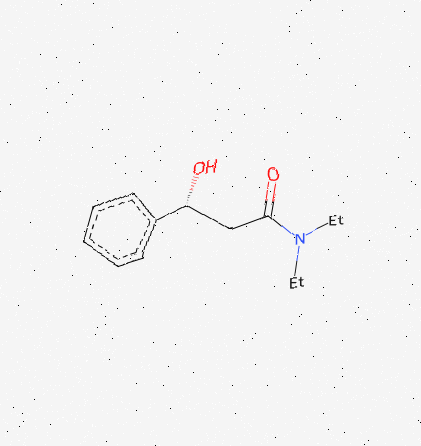 CCN(CC)C(=O)C[C@@H](O)c1ccccc1